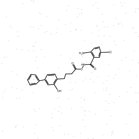 Nc1ccc(Cl)cc1C(=O)NOC(=O)CCCc1ccc(-c2ccccc2)cc1O